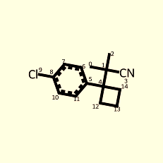 CC(C)(C#N)C1(c2ccc(Cl)cc2)CCC1